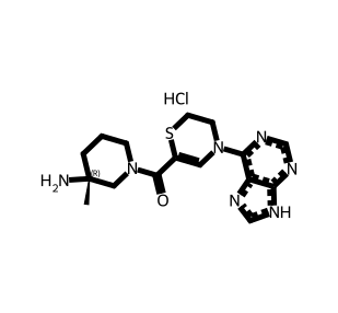 C[C@@]1(N)CCCN(C(=O)C2=CN(c3ncnc4[nH]cnc34)CCS2)C1.Cl